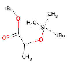 CC(O[Si](C)(C)C(C)(C)C)C(=O)OC(C)(C)C